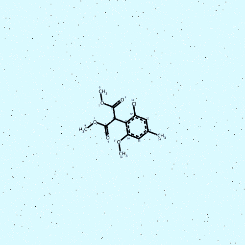 COC(=O)C(C(=O)OC)c1c(Cl)cc(C)cc1OC